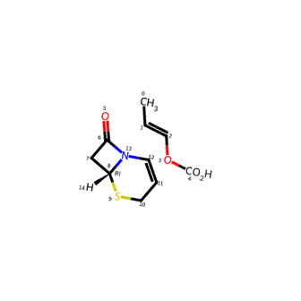 CC=COC(=O)O.O=C1C[C@H]2SCC=CN12